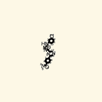 CN(C)C(=O)c1ccc(-c2cncc(-c3nnc(Nc4cccc(Cl)c4)o3)n2)cc1